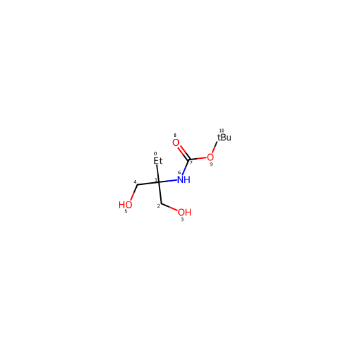 CCC(CO)(CO)NC(=O)OC(C)(C)C